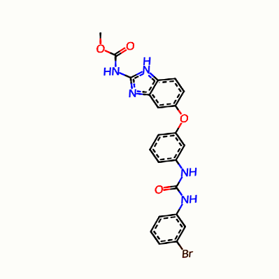 COC(=O)Nc1nc2cc(Oc3cccc(NC(=O)Nc4cccc(Br)c4)c3)ccc2[nH]1